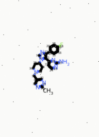 Cc1ncc(CN2CCC(n3cnc(-c4ccc(F)cc4)c3-c3ccnc(N)n3)CC2)cn1